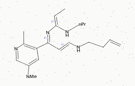 C=CCCN/C=C/C(=N\C(=C\C)NCCC)c1cc(NC)cnc1C